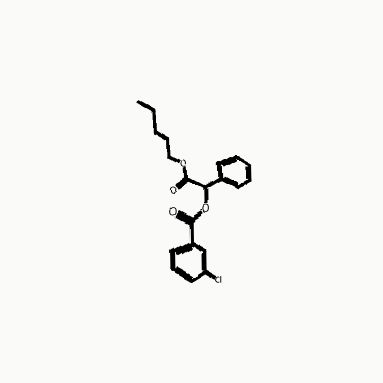 CCCCCOC(=O)C(OC(=O)c1cccc(Cl)c1)c1ccccc1